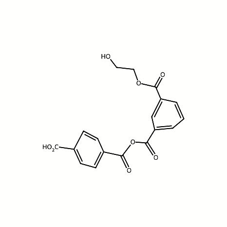 O=C(O)c1ccc(C(=O)OC(=O)c2cccc(C(=O)OCCO)c2)cc1